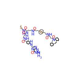 CSC[C@@H](C)NC(=O)C(CCCNC(=O)CCC12CCCC(CCNC(=O)CCC(=O)N3Cc4ccccc4/C=C\c4ccccc43)(CCC1)SS2)NC(=O)CC[C@@H](C)NC(=O)c1ccc(NCc2cnc3nc(N)[nH]c(=O)c3n2)cc1